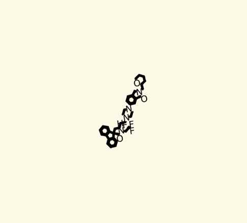 O=C1c2cc(N3CCN(CCCCC4(C(=O)NCC(F)(F)F)c5ccccc5-c5ccccc54)CC3)ccc2CN1CC1CCCCO1